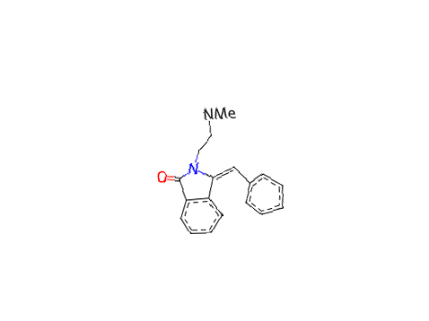 CNCCN1C(=O)c2ccccc2C1=Cc1ccccc1